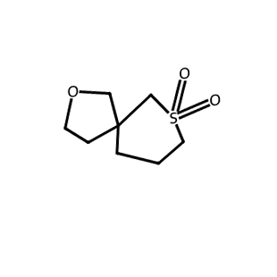 O=S1(=O)CCCC2(CCOC2)C1